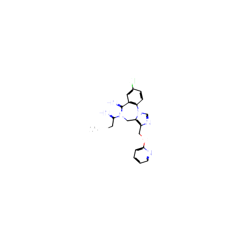 COCC(=N)N1Cc2c(COc3ccccn3)ncn2-c2ccc(Cl)cc2C1=N